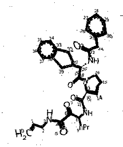 C=CCNC(=O)C(=O)C(CCC)NC(=O)[C@@H]1CCCN1C(=O)[C@@H](NC(=O)Cc1ccccc1)C1Cc2ccccc2C1